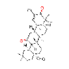 [C-]#[N+]C1=C[C@]2(C)[C@H]3CC(=O)[C@@H]4[C@@H]5CC(C)(C)CC[C@]5(C=O)CC[C@@]4(C)[C@]3(C)CC[C@H]2C(C)(C)C1=O